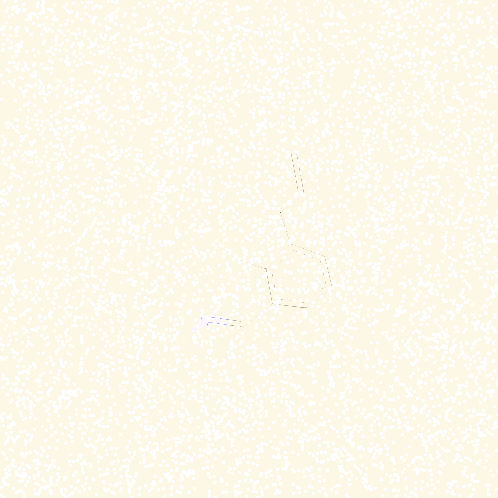 C=CCc1cccc(C=NO)c1O